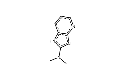 CN(C)c1nc2ncccc2[nH]1